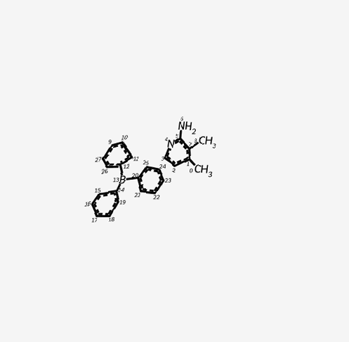 Cc1ccnc(N)c1C.c1ccc(B(c2ccccc2)c2ccccc2)cc1